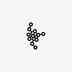 c1ccc(-c2cccc(-c3cc4c5c6c(cccc36)-c3cc(-c6ccccc6)cc6c3N5c3c(cc(-c5cccc(-c7ccccc7)c5)c5cccc-6c35)C4(c3ccccc3)c3ccccc3)c2)cc1